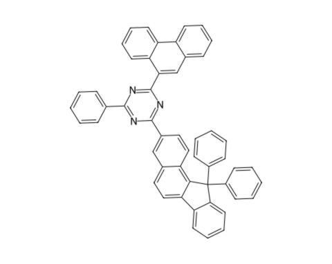 c1ccc(-c2nc(-c3ccc4c5c(ccc4c3)-c3ccccc3C5(c3ccccc3)c3ccccc3)nc(-c3cc4ccccc4c4ccccc34)n2)cc1